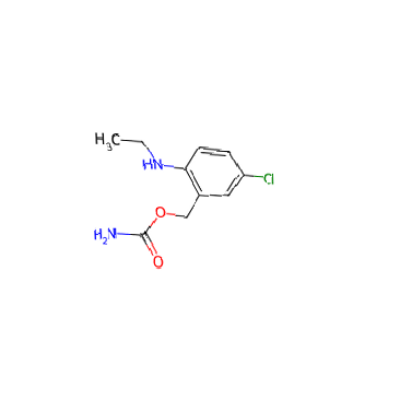 CCNc1ccc(Cl)cc1COC(N)=O